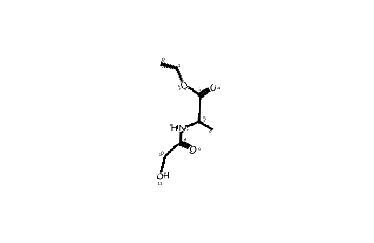 CCOC(=O)C(C)NC(=O)CO